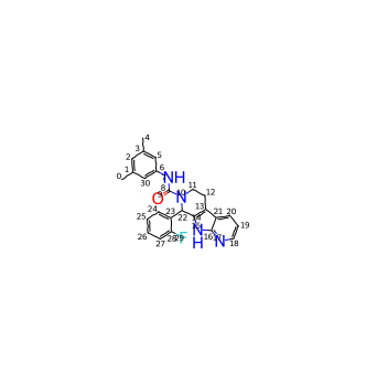 Cc1cc(C)cc(NC(=O)N2CCc3c([nH]c4ncccc34)C2c2ccccc2F)c1